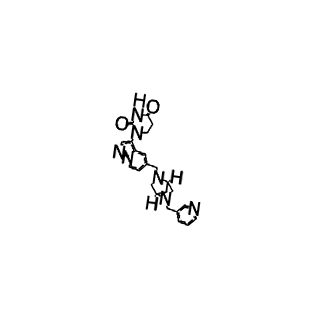 O=C1CCN(c2cnn3ccc(CN4C[C@H]5C[C@@H]4CN5Cc4cccnc4)cc23)C(=O)N1